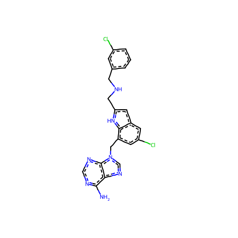 Nc1ncnc2c1ncn2Cc1cc(Cl)cc2cc(CNCc3cccc(Cl)c3)[nH]c12